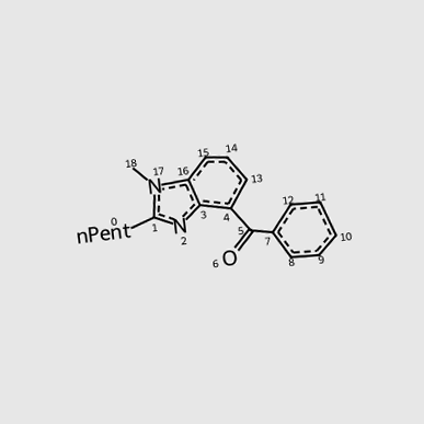 CCCCCc1nc2c(C(=O)c3ccccc3)cccc2n1C